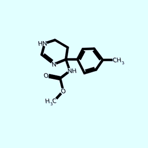 COC(=O)NC1(c2ccc(C)cc2)CCNC=N1